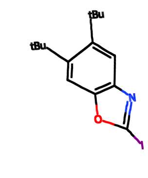 CC(C)(C)c1cc2nc(I)oc2cc1C(C)(C)C